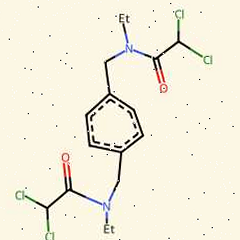 CCN(Cc1ccc(CN(CC)C(=O)C(Cl)Cl)cc1)C(=O)C(Cl)Cl